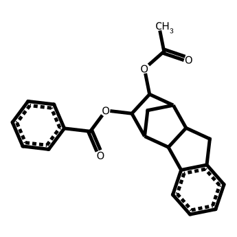 CC(=O)OC1C2CC(C1OC(=O)c1ccccc1)C1c3ccccc3CC21